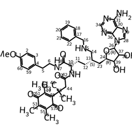 COc1ccc(CCNC(=O)[C@H](CC[C@H](CNCc2ccccc2)C[C@H]2O[C@@H](n3cnc4c(N)ncnc43)C(O)C2O)NC(=O)CC(C)(C)C2=C(C)C(=O)C(C)=C(C)C2=O)cc1